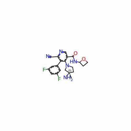 C[C@]1(N)CCN(c2c(C(=O)NC3CCO3)cnc(C#N)c2-c2cc(F)cc(F)c2)C1